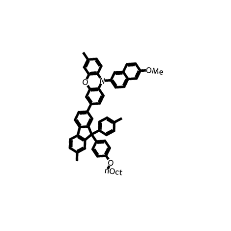 CCCCCCCCOc1ccc(C2(c3ccc(C)cc3)c3cc(C)ccc3-c3ccc(-c4ccc5c(c4)Oc4cc(C)ccc4N5c4ccc5cc(OC)ccc5c4)cc32)cc1